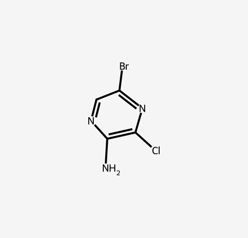 Nc1ncc(Br)nc1Cl